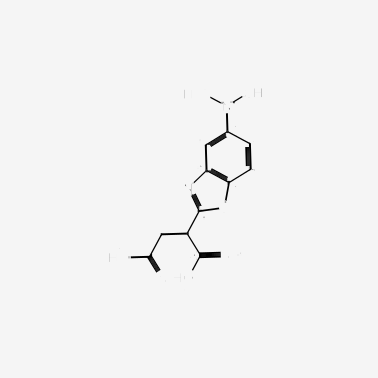 CN(C)c1ccc2sc(C(CC(O)=S)C(O)=S)nc2c1